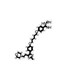 Cc1nc(-c2ccc(OCCCCCOc3ccc(C(=N)NO)cc3)cc2)c(CCN2CCOCC2)s1